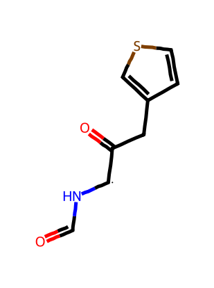 O=CN[CH]C(=O)Cc1ccsc1